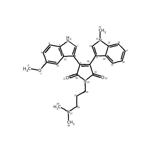 COc1ccc2[nH]cc(C3=C(c4cn(C)c5ccccc45)C(=O)N(CCCN(C)C)C3=O)c2c1